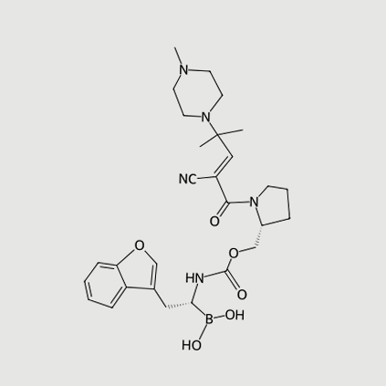 CN1CCN(C(C)(C)C=C(C#N)C(=O)N2CCC[C@@H]2COC(=O)N[C@@H](Cc2coc3ccccc23)B(O)O)CC1